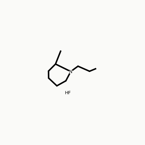 CCCN1CCCCC1C.F